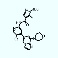 CCc1cnc(NC(=O)c2cnn(C(C)(C)C)c2I)cc1-c1cc(N2CCOCC2)c2nccn2c1